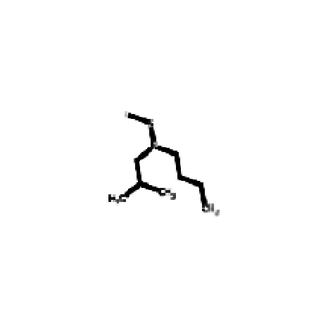 [C]SN(CCCC)CC(C)C